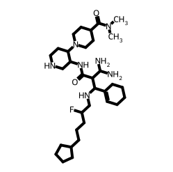 CN(C)C(=O)C1CCN(C2CCNCC2NC(=O)C(C(N)N)C(NCC(F)CCCC2CCCC2)C2=CCCCC2)CC1